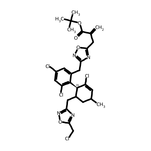 C=C(Cc1nc(Cc2cc(Cl)cc(Cl)c2[C@H]2C(Cl)=CC(C)CC2Cc2noc(CCl)n2)no1)C(=O)OC(C)(C)C